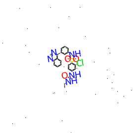 CCNC(=O)Nc1ccc(S(=O)(=O)Nc2cccc(-c3ncnc4ccccc34)c2)c(Cl)c1